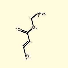 CCCCCCCOC(=O)/C=C/C(C)(C)C